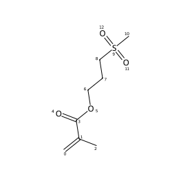 C=C(C)C(=O)OCCCS(C)(=O)=O